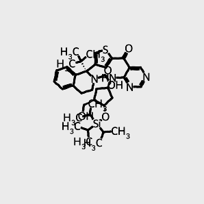 CC(C)[Si](O[C@H]1C[C@H](Nc2ncncc2C(=O)c2cc([C@]3(C(C)(C)C)c4ccccc4CCN3C(=O)O)cs2)C[C@@H]1CO)(C(C)C)C(C)C